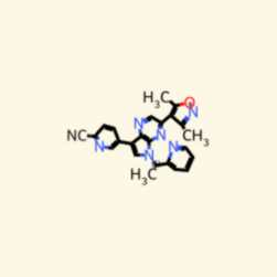 Cc1noc(C)c1-c1cnc2c(-c3ccc(C#N)nc3)cn([C@@H](C)c3ccccn3)c2n1